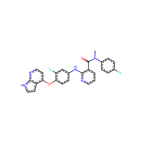 CN(C(=O)c1cccnc1Nc1ccc(Oc2ccnc3[nH]ccc23)c(F)c1)c1ccc(F)cc1